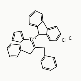 C1=CC[C]([Ti+2](=[C](Cc2ccccc2)Cc2ccccc2)[CH]2c3ccccc3-c3ccccc32)=C1.[Cl-].[Cl-]